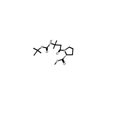 COC(=O)[C@@H]1CCCN1C(=O)CC(C)(C)NC(=O)OC(C)(C)C